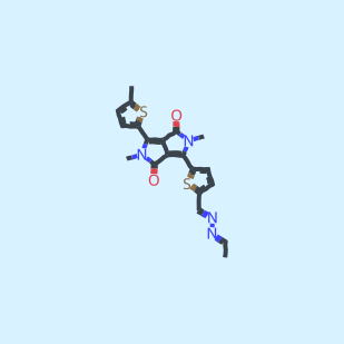 C/C=N/N=C/c1ccc(C2=C3C(=O)N(C)C(c4ccc(C)s4)=C3C(=O)N2C)s1